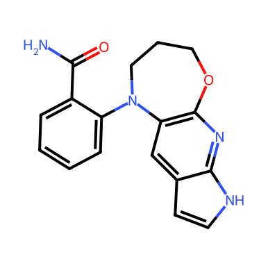 NC(=O)c1ccccc1N1CCCOc2nc3[nH]ccc3cc21